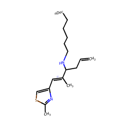 C=CCC(NCCCCCCCCCCCCCCC)/C(C)=C/c1csc(C)n1